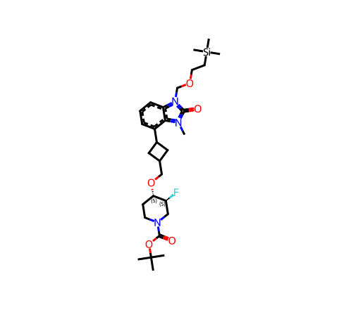 Cn1c(=O)n(COCC[Si](C)(C)C)c2cccc(C3CC(CO[C@H]4CCN(C(=O)OC(C)(C)C)C[C@@H]4F)C3)c21